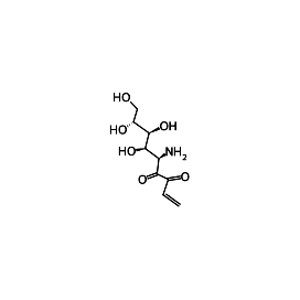 C=CC(=O)C(=O)[C@H](N)[C@@H](O)[C@H](O)[C@H](O)CO